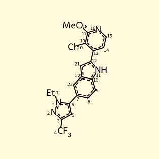 CCn1nc(C(F)(F)F)cc1-c1ccc2[nH]c(-c3ccnc(OC)c3Cl)cc2c1